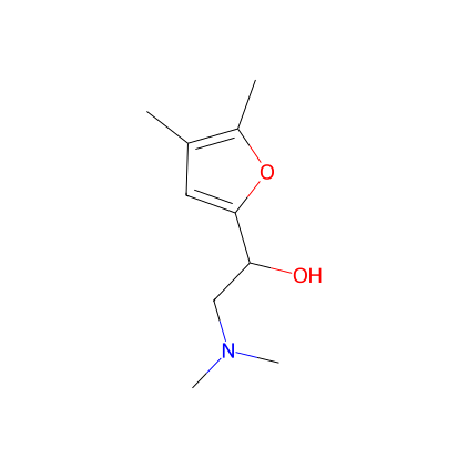 Cc1cc(C(O)CN(C)C)oc1C